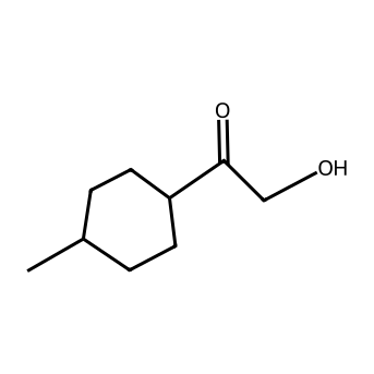 CC1CCC(C(=O)CO)CC1